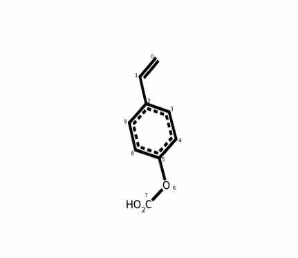 C=Cc1ccc(OC(=O)O)cc1